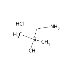 C[Si](C)(C)CN.Cl